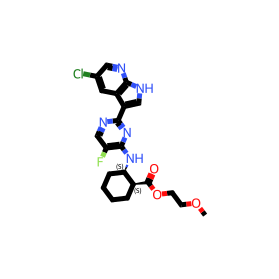 COCCOC(=O)[C@H]1CCCC[C@@H]1Nc1nc(-c2c[nH]c3ncc(Cl)cc23)ncc1F